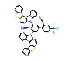 N#Cc1cc(C(F)(F)F)ccc1-c1cc(-n2c3ccccc3c3c4c(ccc32)sc2ccccc24)c(C#N)c(-n2c3ccccc3c3c4c(ccc32)sc2ccccc24)c1